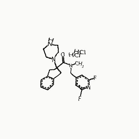 CN(Cc1cc(F)nc(F)c1)C(=O)C1(N2CCNCC2)Cc2ccccc2C1.Cl.Cl